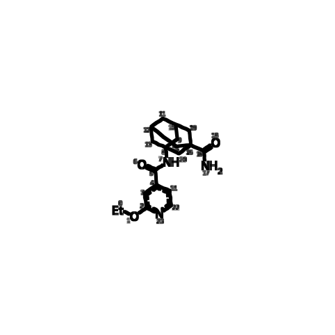 CCOc1cc(C(=O)NC23CC4CC(C2)CC(C(N)=O)(C4)C3)ccn1